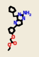 CCOC(=O)COc1cccc(-c2ccc3nc(N)nc(Cc4ccccc4)c3n2)c1